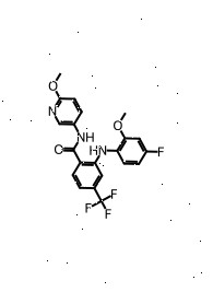 COc1ccc(NC(=O)c2ccc(C(F)(F)F)cc2Nc2ccc(F)cc2OC)cn1